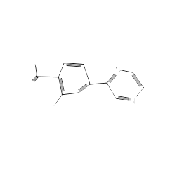 O=C(O)c1ccc(-c2cnccn2)cc1F